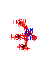 COP(=O)(O)OCCCCCCNC(=O)[C@H](CCCCNC(=O)COCCOCCOCCO[C@H]1C[C@@H](O)[C@@H](O)[C@@H](CO)O1)NC(=O)[C@H](CCCCNC(=O)COCCOCCOCCO[C@H]1C[C@@H](O)[C@@H](O)[C@@H](CO)O1)NC(=O)COCCOCCOCCO[C@H]1C[C@@H](O)[C@@H](O)[C@@H](CO)O1